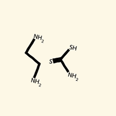 NC(=S)S.NCCN